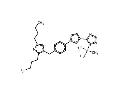 CCCCc1nc(CCCC)n(Cc2ccc(-n3ccc(-c4nnn[n]4[Sn]([CH3])([CH3])[CH3])c3)cc2)n1